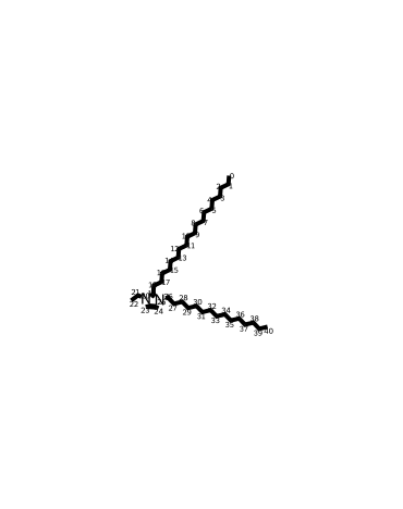 CCCCCCCCCCCCCCCCCCCc1n(CC)cc[n+]1CCCCCCCCCCCCCCC